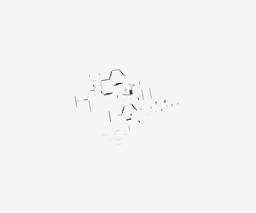 COc1nc(OCC(F)F)c(F)cc1NS(=O)(=O)c1cccc2c(=O)n(CC(F)F)ccc12